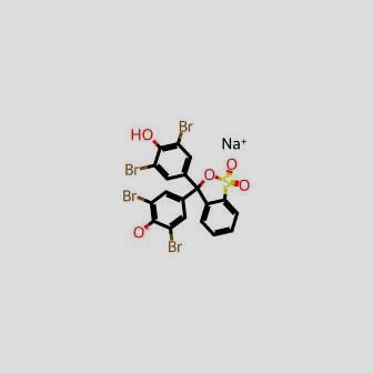 O=S1(=O)OC(c2cc(Br)c([O-])c(Br)c2)(c2cc(Br)c(O)c(Br)c2)c2ccccc21.[Na+]